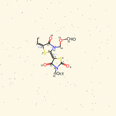 C/C=c1/s/c(=C2/SC(=O)N(CCCCCCCC)C2=O)n(COC=O)c1=O